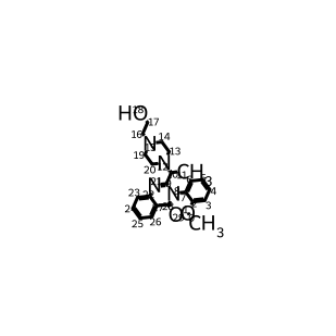 COc1ccccc1-n1c(C(C)N2CCN(CCO)CC2)nc2ccccc2c1=O